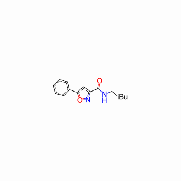 CCC(C)CNC(=O)c1cc(-c2ccccc2)on1